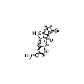 COc1ccc(COC(=O)[C@@H]2N3C(=O)C[C@H]3S[C@@]2(C)CSC#N)cc1